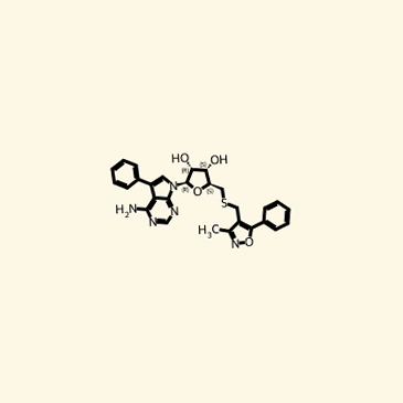 Cc1noc(-c2ccccc2)c1CSC[C@H]1O[C@@H](n2cc(-c3ccccc3)c3c(N)ncnc32)[C@H](O)[C@@H]1O